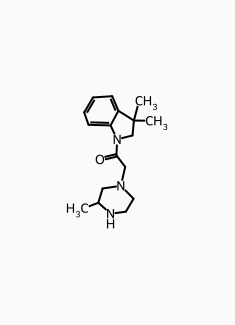 CC1CN(CC(=O)N2CC(C)(C)c3ccccc32)CCN1